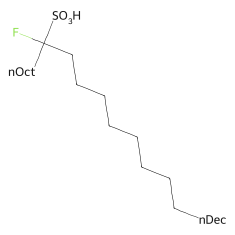 CCCCCCCCCCCCCCCCCCC(F)(CCCCCCCC)S(=O)(=O)O